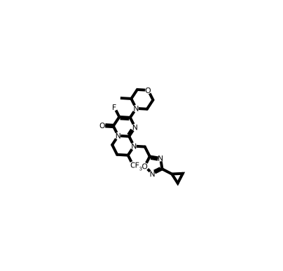 CC1COCCN1c1nc2n(c(=O)c1F)CCC(C(F)(F)F)N2Cc1nc(C2CC2)no1